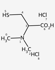 CN(C)C(CS)C(=O)O.Cl.Cl